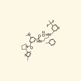 Cc1csc(C2CCCN2C(=O)c2cc(C(=O)N[C@@H](Cc3ccccc3)[C@H](O)CNCc3cncc(C(C)(F)F)c3)cc(N(C)C)c2)n1